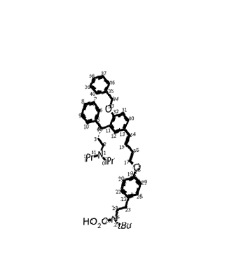 CC(C)N(CC[C@H](c1ccccc1)c1cc(C=CCCOc2ccc(CCN(C(=O)O)C(C)(C)C)cc2)ccc1OCc1ccccc1)C(C)C